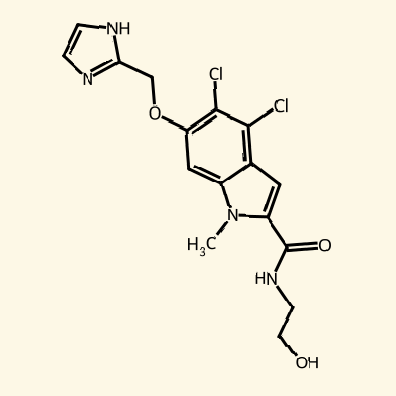 Cn1c(C(=O)NCCO)cc2c(Cl)c(Cl)c(OCc3ncc[nH]3)cc21